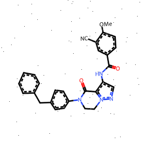 COc1ccc(C(=O)Nc2cnn3c2C(=O)N(c2ccc(Cc4ccccc4)cc2)CC3)cc1C#N